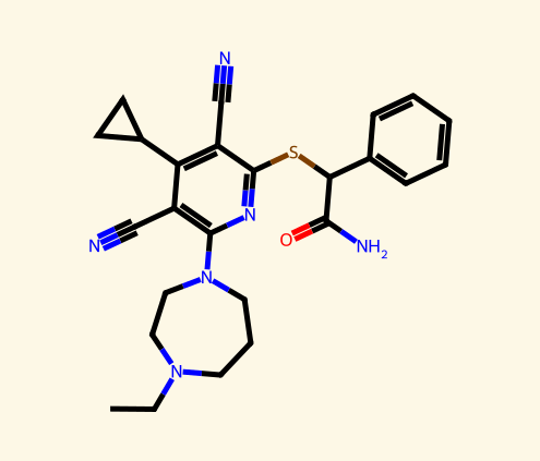 CCN1CCCN(c2nc(SC(C(N)=O)c3ccccc3)c(C#N)c(C3CC3)c2C#N)CC1